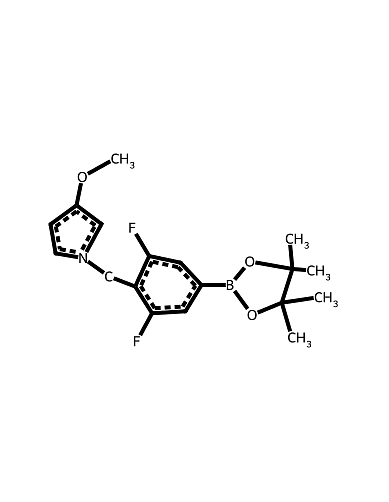 COc1ccn(Cc2c(F)cc(B3OC(C)(C)C(C)(C)O3)cc2F)c1